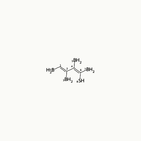 B/C=C(B)/C(B)=C(/B)S